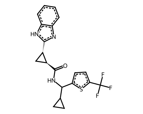 O=C(NC(c1ccc(C(F)(F)F)s1)C1CC1)[C@H]1C[C@@H]1c1nc2ccccc2[nH]1